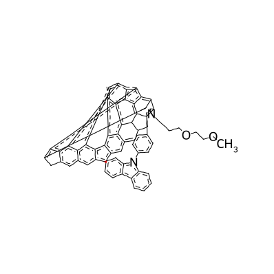 COCCOCCN1CC2C3=c4c5c6c7c8c9c(cc%10cc%11cc%12cc%13c%14c(c4c6c4c%14c%12c6c%11c%10c9c7c64)=C(C3)C%13)=CC3CC2(C=5C83)C1c1ccc(-n2c3ccccc3c3ccccc32)cc1